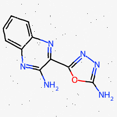 Nc1nnc(-c2nc3ccccc3nc2N)o1